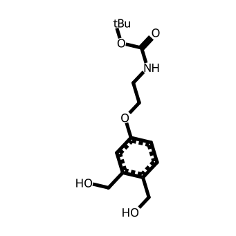 CC(C)(C)OC(=O)NCCOc1ccc(CO)c(CO)c1